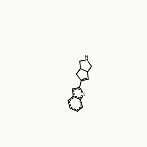 C1=C(c2cc3ccccc3s2)CC2CNCC12